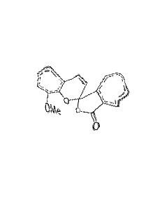 COc1cccc2c1OC1(C=C2)OC(=O)c2ccccc21